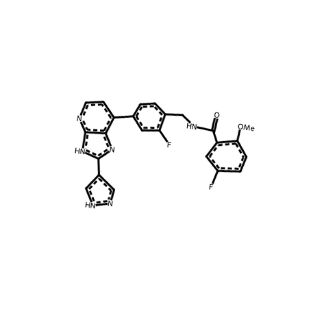 COc1ccc(F)cc1C(=O)NCc1ccc(-c2ccnc3[nH]c(-c4cn[nH]c4)nc23)cc1F